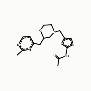 CC(=O)Nc1ncc(CN2CCOC(Cc3ccnc(C)n3)C2)s1